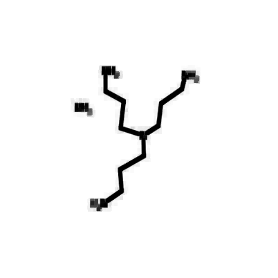 N.NCCCN(CCCN)CCCN